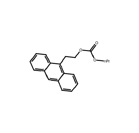 CCCOC(=O)OCCc1c2ccccc2cc2ccccc12